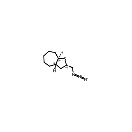 [N-]=[N+]=NC[C@H]1C[C@@H]2CCCCC[C@H]2S1